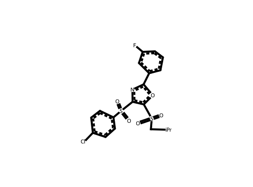 CC(C)CS(=O)(=O)c1oc(-c2cccc(F)c2)nc1S(=O)(=O)c1ccc(Cl)cc1